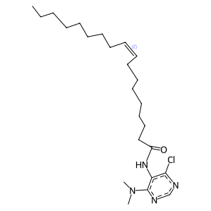 CCCCCCCC/C=C\CCCCCCCC(=O)Nc1c(Cl)ncnc1N(C)C